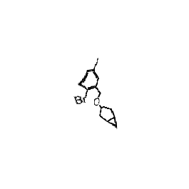 Brc1ccc(I)cc1COC1CC2CC2C1